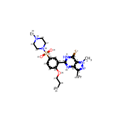 CCCc1nn(C)c2c(=S)[nH]c(-c3cc(S(=O)(=O)N4CCN(CC)CC4)ccc3OCCC(C)C)nc12